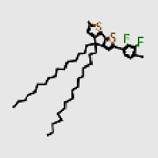 CCCCCCCCCCCCCCCCC1(CCCCCCCCCCCCCCCC)c2cc(C)sc2-c2sc(-c3ccc(C)c(F)c3F)cc21